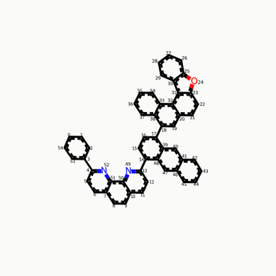 c1ccc(-c2ccc3ccc4ccc(-c5ccc(-c6cc7ccc8oc9ccccc9c8c7c7ccccc67)c6cc7ccccc7cc56)nc4c3n2)cc1